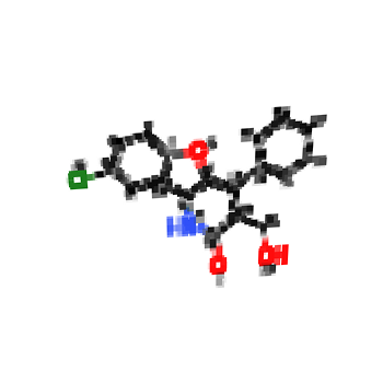 O=c1[nH]c2c(oc3ccc(Cl)cc32)c(-c2ccccc2)c1CO